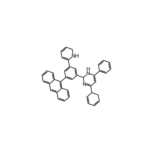 C1=CCNC(c2cc(-c3c4ccccc4cc4ccccc34)cc(C3N=C(C4C=CC=CC4)C=C(c4ccccc4)N3)c2)=C1